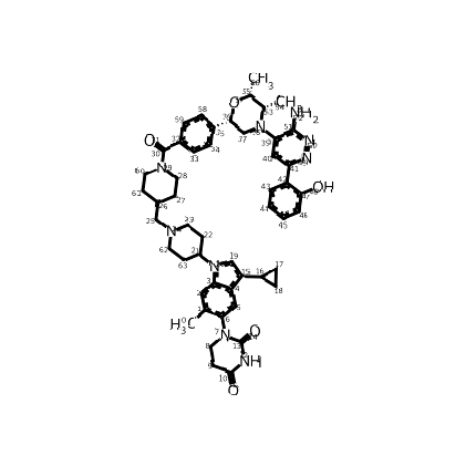 Cc1cc2c(cc1N1CCC(=O)NC1=O)c(C1CC1)cn2C1CCN(CC2CCN(C(=O)c3ccc([C@H]4CN(c5cc(-c6ccccc6O)nnc5N)[C@@H](C)[C@@H](C)O4)cc3)CC2)CC1